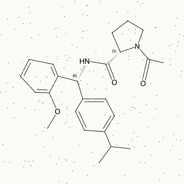 COc1ccccc1[C@H](NC(=O)[C@@H]1CCCN1C(C)=O)c1ccc(C(C)C)cc1